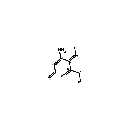 C=C/C=C(N)\C(=C/C)C(=O)CC